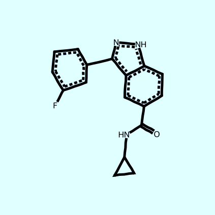 O=C(NC1CC1)c1ccc2[nH]nc(-c3cccc(F)c3)c2c1